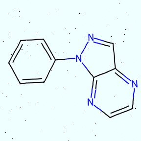 [c]1cnc2c(cnn2-c2ccccc2)n1